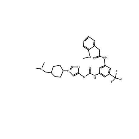 COc1ccccc1CC(=O)Nc1cc(NC(=O)[N-]c2c[n+](C3CCC(CN(C)C)CC3)no2)cc(C(F)(F)F)c1